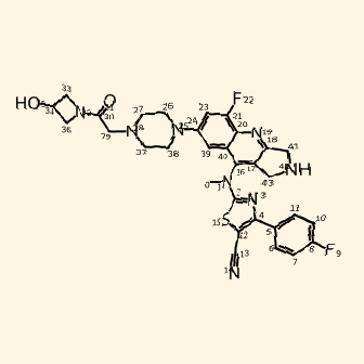 CN(c1nc(-c2ccc(F)cc2)c(C#N)s1)c1c2c(nc3c(F)cc(N4CCN(CC(=O)N5CC(O)C5)CC4)cc13)CNC2